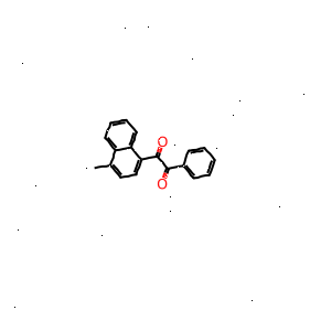 Cc1ccc(C(=O)C(=O)c2ccccc2)c2ccccc12